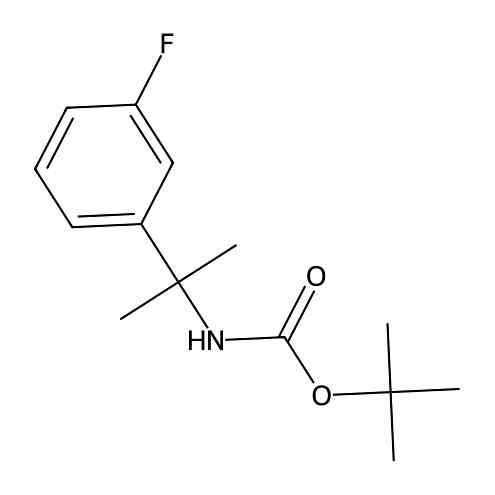 CC(C)(C)OC(=O)NC(C)(C)c1cccc(F)c1